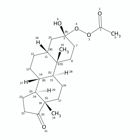 CC(=O)OO[C@]1(O)CC[C@@]2(C)[C@H](CC[C@@H]3[C@@H]2CC[C@]2(C)C(=O)CC[C@@H]32)C1